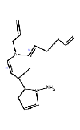 C=CCC/C=C/N(/C=C\C(C)C1CC=CN1N)CC=C